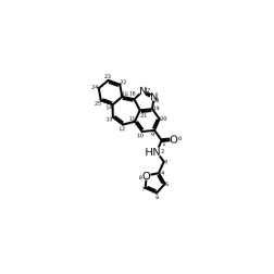 O=C(NCc1ccco1)c1cc2ccc3c(c4nnc(c1)c2-4)C=CCC=3